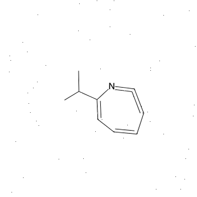 CC(C)C1=CC=CC=C=N1